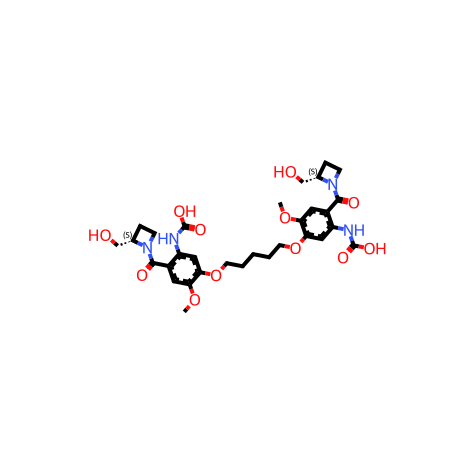 COc1cc(C(=O)N2CC[C@H]2CO)c(NC(=O)O)cc1OCCCCCOc1cc(NC(=O)O)c(C(=O)N2CC[C@H]2CO)cc1OC